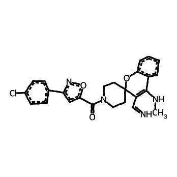 CNC1=C(C=N)C2(CCN(C(=O)c3cc(-c4ccc(Cl)cc4)no3)CC2)Oc2ccccc21